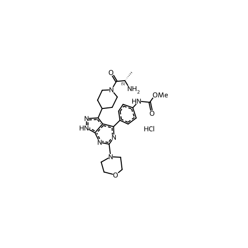 COC(=O)Nc1ccc(-c2nc(N3CCOCC3)nc3[nH]nc(C4CCN(C(=O)[C@H](C)N)CC4)c23)cc1.Cl